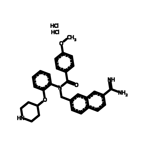 COc1ccc(C(=O)N(Cc2ccc3ccc(C(=N)N)cc3c2)c2ccccc2OC2CCNCC2)cc1.Cl.Cl